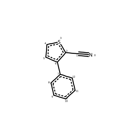 N#Cc1sccc1-c1cc[c]cc1